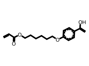 C=CC(=O)OCCCCCCOc1ccc(C(=C)O)cc1